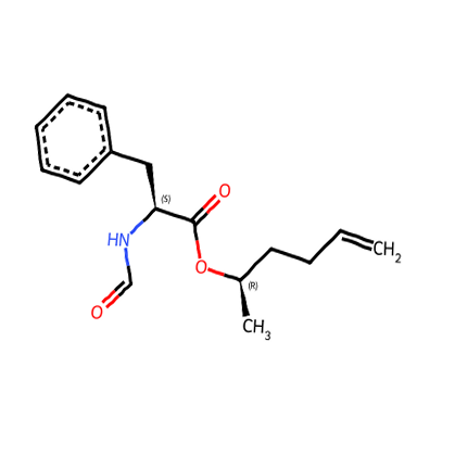 C=CCC[C@@H](C)OC(=O)[C@H](Cc1ccccc1)NC=O